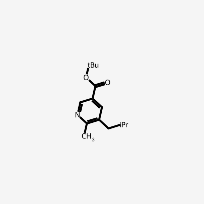 Cc1ncc(C(=O)OC(C)(C)C)cc1CC(C)C